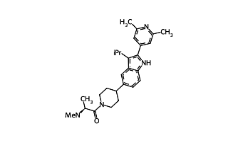 CN[C@@H](C)C(=O)N1CCC(c2ccc3[nH]c(-c4cc(C)nc(C)c4)c(C(C)C)c3c2)CC1